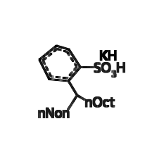 CCCCCCCCCC(CCCCCCCC)c1ccccc1S(=O)(=O)O.[KH]